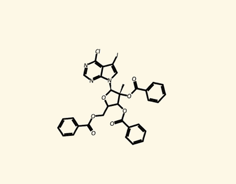 C[C@@]1(OC(=O)c2ccccc2)C(OC(=O)c2ccccc2)C(COC(=O)c2ccccc2)O[C@H]1n1cc(I)c2c(Cl)ncnc21